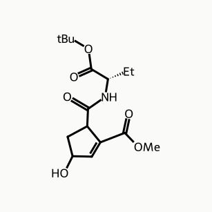 CC[C@H](NC(=O)C1CC(O)C=C1C(=O)OC)C(=O)OC(C)(C)C